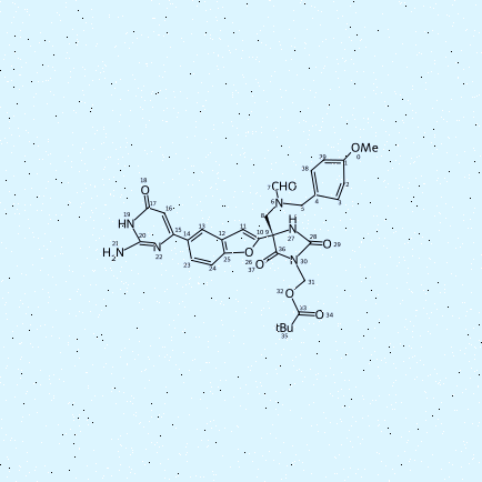 COc1ccc(CN(C=O)C[C@@]2(c3cc4cc(-c5cc(=O)[nH]c(N)n5)ccc4o3)NC(=O)N(COC(=O)C(C)(C)C)C2=O)cc1